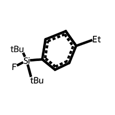 CCc1ccc([Si](F)(C(C)(C)C)C(C)(C)C)cc1